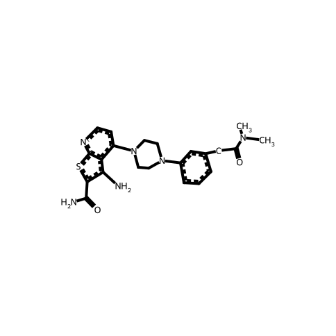 CN(C)C(=O)Cc1cccc(N2CCN(c3ccnc4sc(C(N)=O)c(N)c34)CC2)c1